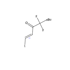 CCCCC(F)(F)C(=O)/C=C/I